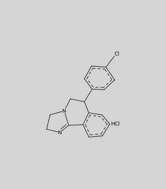 Cl.Clc1ccc(C2CN3CCN=C3c3ccccc32)cc1